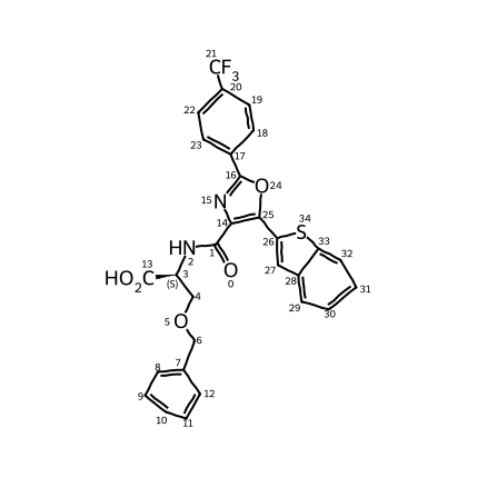 O=C(N[C@@H](COCc1ccccc1)C(=O)O)c1nc(-c2ccc(C(F)(F)F)cc2)oc1-c1cc2ccccc2s1